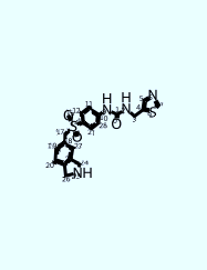 O=C(NCc1cncs1)Nc1ccc(S(=O)(=O)Cc2ccc3c(c2)CNC3)cc1